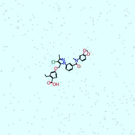 CCc1cc(OCc2c(Cl)c(C)nn2-c2cccc(C(=O)N(C)c3ccc4c(c3)OCO4)c2)ccc1C(=O)O